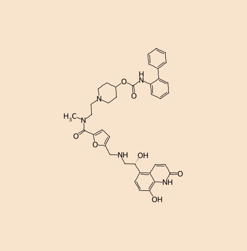 CN(CCN1CCC(OC(=O)Nc2ccccc2-c2ccccc2)CC1)C(=O)c1ccc(CNC[C@H](O)c2ccc(O)c3[nH]c(=O)ccc23)o1